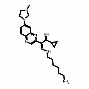 CN1CCN(c2ccc3ncc(/C(=C/NCCCCCCN)C(=N)C4CC4)nc3c2)C1